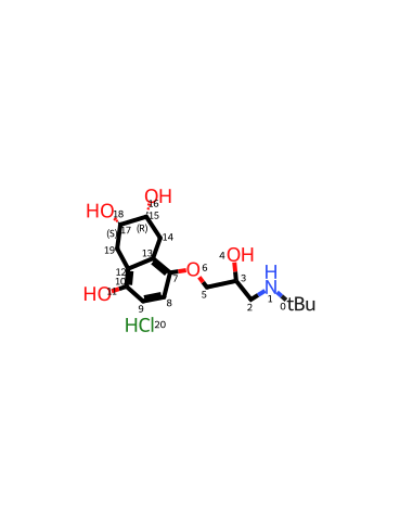 CC(C)(C)NCC(O)COc1ccc(O)c2c1C[C@@H](O)[C@@H](O)C2.Cl